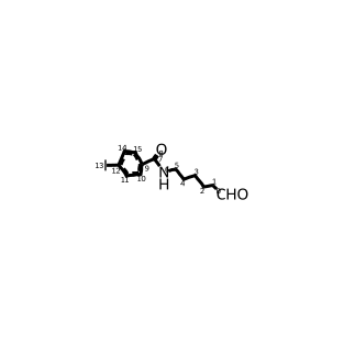 O=CCCCCCNC(=O)c1ccc(I)cc1